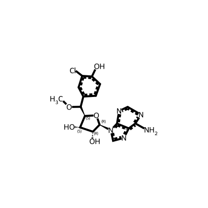 COC(c1ccc(O)c(Cl)c1)[C@H]1O[C@@H](n2cnc3c(N)ncnc32)[C@H](O)[C@@H]1O